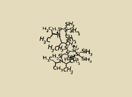 CC(C)N([SiH2][Si]([SiH3])([SiH3])[SiH2][Si]([SiH3])([SiH3])[SiH3])C(C)C.CC(C)N([SiH2][Si]([SiH3])([SiH3])[SiH3])C(C)C